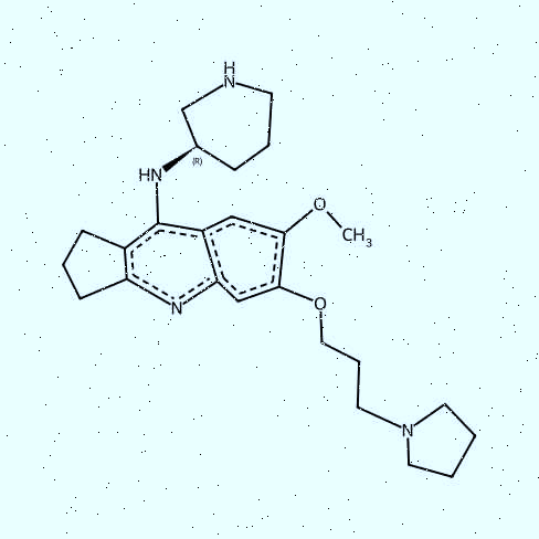 COc1cc2c(N[C@@H]3CCCNC3)c3c(nc2cc1OCCCN1CCCC1)CCC3